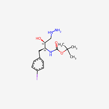 CC(C)(C)OC(=O)N[C@@H](Cc1ccc(I)cc1)[C@@H](O)CNN